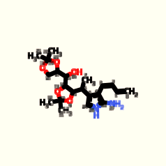 C=C/C=C\c1c(C(C)C2OC(C)(C)OC2C(O)C2COC(C)(C)O2)c[nH]c1N